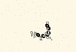 CC(CN1CCN(c2ccc3cc(Cl)ccc3n2)CC1)C(=O)N1CCC(Nc2ccc([N+](=O)[O-])c(C(F)(F)F)c2)CC1